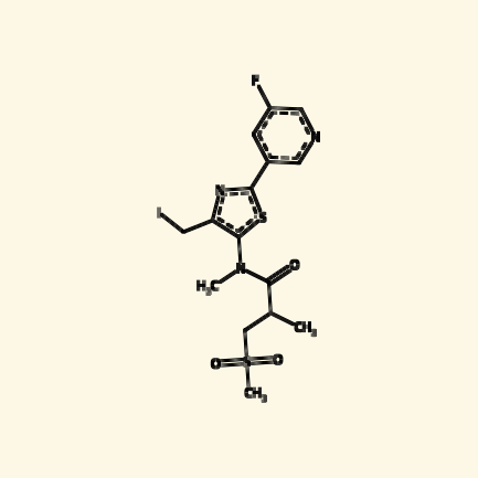 CC(CS(C)(=O)=O)C(=O)N(C)c1sc(-c2cncc(F)c2)nc1CI